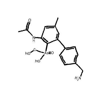 CC(=O)Nc1cc(C)cc(-c2ccc(CN)cc2)c1[As](=O)(O)OO